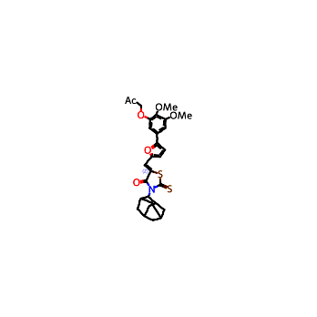 COc1cc(-c2ccc(/C=C3\SC(=S)N(C4C5CC6CC(C5)CC4C6)C3=O)o2)cc(OCC(C)=O)c1OC